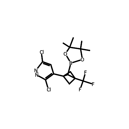 CC1(C)OB(C2C3(c4cc(Cl)nnc4Cl)CC2(C(F)(F)F)C3)OC1(C)C